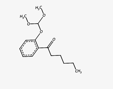 CCCCCC(=O)c1ccccc1OC(OC)OC